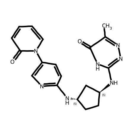 Cc1nnc(N[C@H]2CC[C@H](Nc3ccc(-n4ccccc4=O)cn3)C2)[nH]c1=O